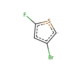 Fc1cc(Br)[c]s1